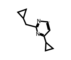 [c]1cc(C2CC2)nc(CC2CC2)n1